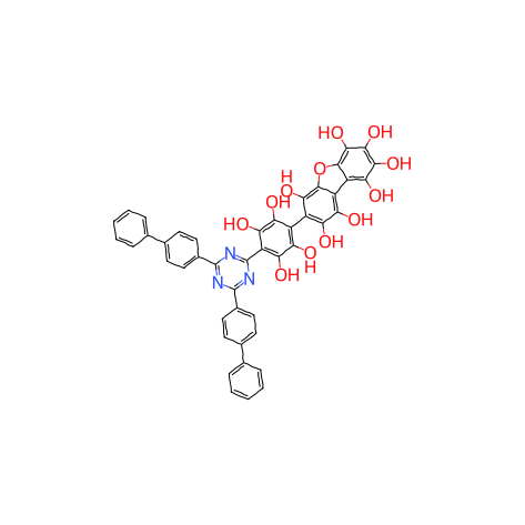 Oc1c(O)c(-c2c(O)c(O)c3c(oc4c(O)c(O)c(O)c(O)c43)c2O)c(O)c(O)c1-c1nc(-c2ccc(-c3ccccc3)cc2)nc(-c2ccc(-c3ccccc3)cc2)n1